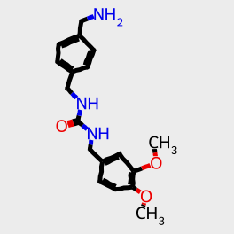 COc1ccc(CNC(=O)NCc2ccc(CN)cc2)cc1OC